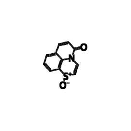 O=c1ccc2cccc3c2n1C=C[S+]3[O-]